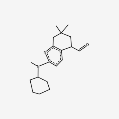 CN(c1ccc2c(n1)CC(C)(C)CC2C=O)C1CCCCC1